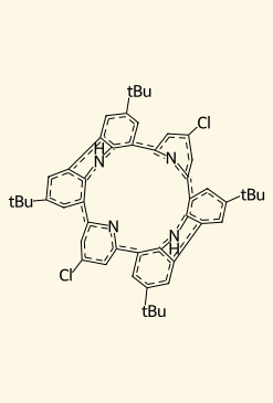 CC(C)(C)c1cc2c3cc(Cl)cc(n3)c3cc(C(C)(C)C)cc4c5cc(C(C)(C)C)cc(c6cc(Cl)cc(n6)c6cc(C(C)(C)C)cc7c(c1)c2[nH]c67)c5[nH]c34